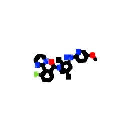 COc1ccc(N[C@@H]2C[C@H]3C[C@@H]2N(C(=O)c2cccc(F)c2-c2ncccn2)C3)nc1